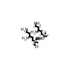 CCO[Si](C)(CCC(N)CCN)OCC.CO[Si](C)(C)CCC(N)CCN